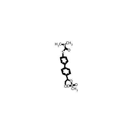 CN(C)C(=O)Sc1ccc(-c2ccc(C(CCl)OS(C)(=O)=O)cc2)cc1